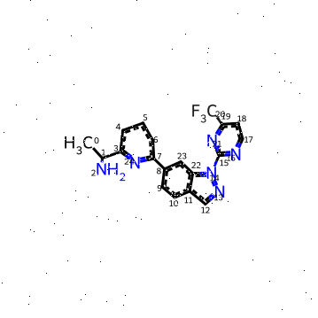 CC(N)c1cccc(-c2ccc3cnn(-c4nccc(C(F)(F)F)n4)c3c2)n1